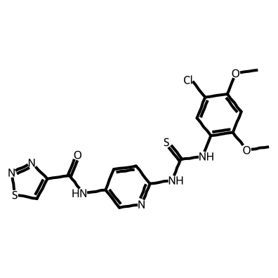 COc1cc(OC)c(NC(=S)Nc2ccc(NC(=O)c3csnn3)cn2)cc1Cl